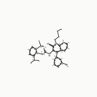 CCCCn1c(=O)c(NC(=O)Nc2c(C(C)C)cccc2C(C)C)c(-c2cccc(Br)c2)c2cccnc21